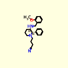 COc1ccccc1CN[C@H]1CCCN(CCCC#N)[C@H]1c1ccccc1